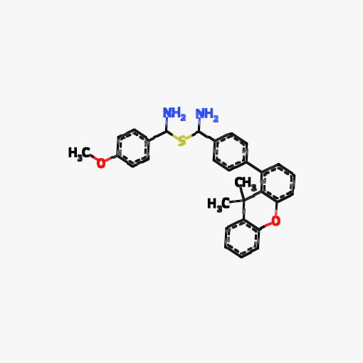 COc1ccc(C(N)SC(N)c2ccc(-c3cccc4c3C(C)(C)c3ccccc3O4)cc2)cc1